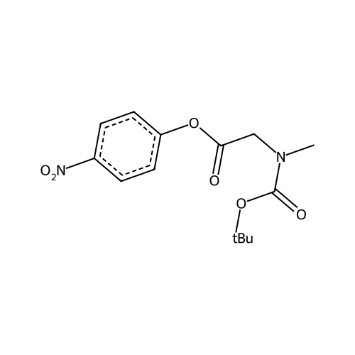 CN(CC(=O)Oc1ccc([N+](=O)[O-])cc1)C(=O)OC(C)(C)C